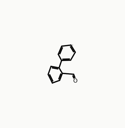 O=Cc1ccccc1-c1cc[c]cc1